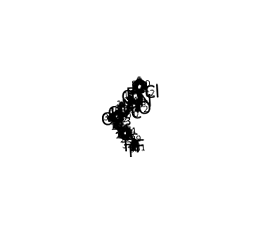 Cc1onc(-c2c(F)cccc2Cl)c1C(=O)N1CCC2(CC1)CN(Cc1ccc(SC(F)(F)F)cc1)C(=O)O2